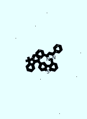 CC1(C)c2ccccc2-c2c(-c3ccc4sc5cccc(-c6nc(-c7ccccc7)cc(-c7ccccc7)n6)c5c4c3)cccc21